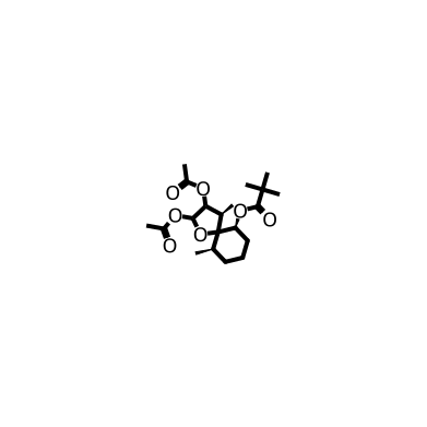 CC(=O)OC1OC2([C@H](C)CCC[C@@H]2OC(=O)C(C)(C)C)[C@H](C)C1OC(C)=O